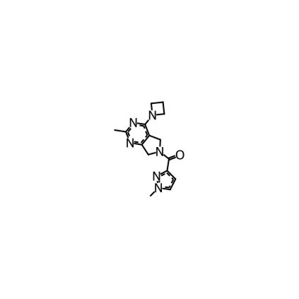 Cc1nc2c(c(N3CCC3)n1)CN(C(=O)c1ccn(C)n1)C2